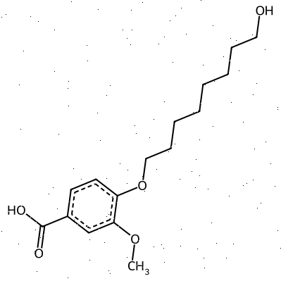 COc1cc(C(=O)O)ccc1OCCCCCCCCO